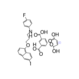 Fc1ccc(NCCCOc2cccc3cc(I)ccc23)cc1.O=C(O)/C=C\C(=O)O.O=C(O)c1cccc(C(=O)O)c1